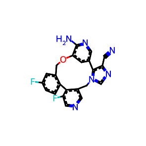 N#Cc1ncn2c1-c1cnc(N)c(c1)OCc1cc(F)ccc1-c1c(F)cncc1C2